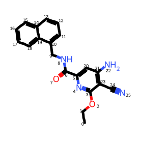 CCOc1nc(C(=O)NCc2cccc3ccccc23)cc(N)c1C#N